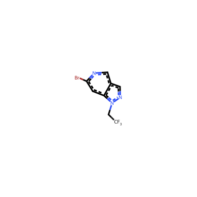 FC(F)(F)Cn1ncc2cnc(Br)cc21